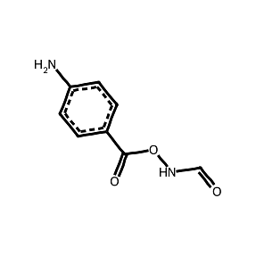 Nc1ccc(C(=O)ONC=O)cc1